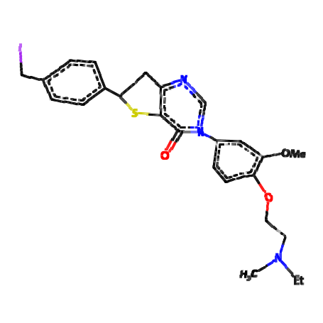 CCN(C)CCOc1ccc(-n2cnc3c(c2=O)SC(c2ccc(CI)cc2)C3)cc1OC